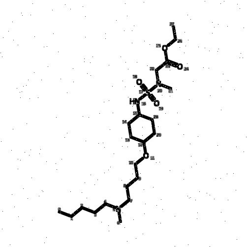 CCCCCN(C)CCCCOC1CCC(NS(=O)(=O)N(C)CC(=O)OCC)CC1